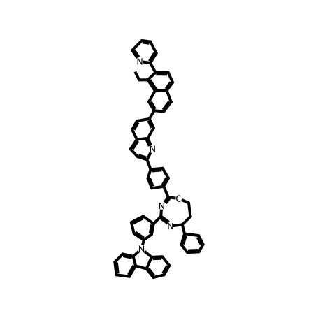 CCc1c(-c2ccccn2)ccc2ccc(-c3ccc4ccc(-c5ccc(/C6=N/C(c7cccc(-n8c9ccccc9c9ccccc98)c7)=N\C(c7ccccc7)CCC6)cc5)nc4c3)cc12